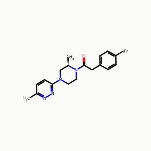 Cc1ccc(N2CCN(C(=O)Cc3ccc(C(C)C)cc3)[C@H](C)C2)nn1